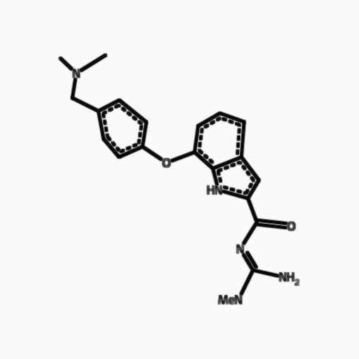 CNC(N)=NC(=O)c1cc2cccc(Oc3ccc(CN(C)C)cc3)c2[nH]1